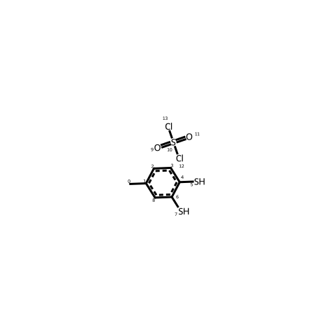 Cc1ccc(S)c(S)c1.O=S(=O)(Cl)Cl